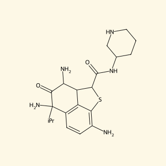 CC(C)C1(N)C(=O)C(N)C2c3c1ccc(N)c3SC2C(=O)NC1CCCNC1